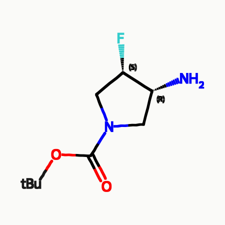 CC(C)(C)OC(=O)N1C[C@@H](N)[C@@H](F)C1